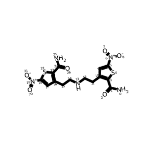 NC(=O)c1sc([N+](=O)[O-])cc1CCNCCc1cc([N+](=O)[O-])sc1C(N)=O